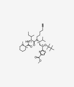 C#CCCCCN(C(=O)[C@@H](NC(=O)[C@H]1CCCCN1C)C(C)CC)[C@H](C[C@@H](O[Si](C)(C)C(C)(C)C)c1nc(C(=O)OC)cs1)C(C)C